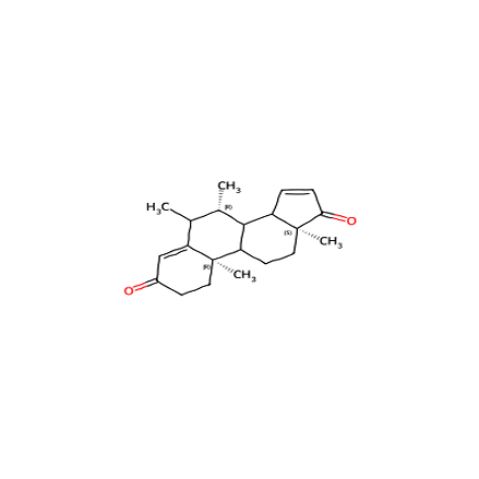 CC1C2=CC(=O)CC[C@]2(C)C2CC[C@]3(C)C(=O)C=CC3C2[C@H]1C